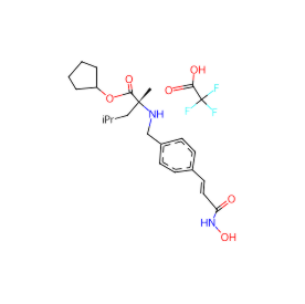 CC(C)C[C@@](C)(NCc1ccc(/C=C/C(=O)NO)cc1)C(=O)OC1CCCC1.O=C(O)C(F)(F)F